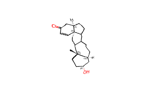 C[C@]12CC[C@@H](O)C[C@@H]1CCC1C3CC[C@@H]4CC(=O)C=C[C@]34CCC12